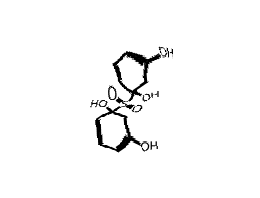 O=S(=O)(C1(O)C=CC=C(O)C1)C1(O)C=CC=C(O)C1